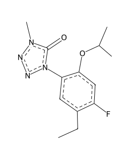 CCc1cc(-n2nnn(C)c2=O)c(OC(C)C)cc1F